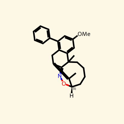 COc1cc(-c2ccccc2)c2c(c1)C1(C)CCCC[C@@H]3ON=C1C(=C3C)C2